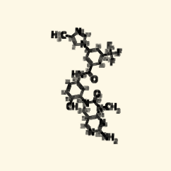 Cc1cn(-c2cc(C(=O)Nc3ccc(C)c(N4Cc5cnc(N)nc5N(C)C4=O)c3)cc(C(F)(F)F)c2)cn1